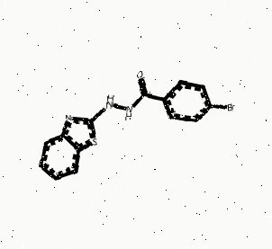 O=C(NNc1nc2ccccc2s1)c1ccc(Br)cc1